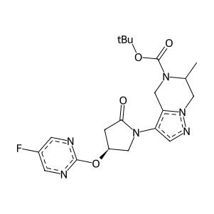 CC1Cn2ncc(N3C[C@@H](Oc4ncc(F)cn4)CC3=O)c2CN1C(=O)OC(C)(C)C